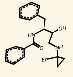 CCC1(NC[C@H](O)[C@H](Cc2ccccc2)NC(=O)c2ccccc2)CC1.Cl